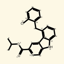 CC(C)OC(=O)c1cc2c(cn1)[nH]c1cccc(Cc3ccccc3Cl)c12